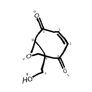 O=C1C=CC(=O)C2(CO)OC12